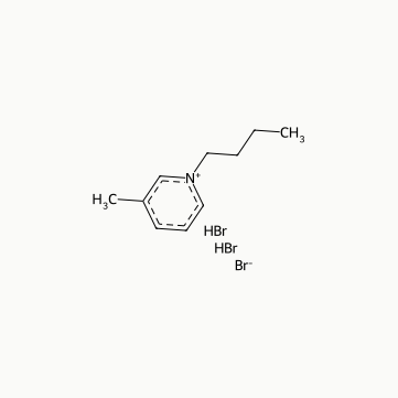 Br.Br.CCCC[n+]1cccc(C)c1.[Br-]